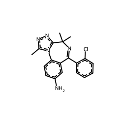 Cc1nnc2n1-c1ccc(N)cc1C(c1ccccc1Cl)=NC2(C)C